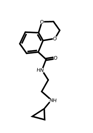 O=C(NCCNC1CC1)c1cccc2c1OCCO2